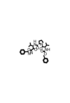 CC(C)[C@H](NC(=O)[C@@H]1CCCN1C(=O)[C@@H](NC(=O)OCc1ccccc1)C(C)C)C(=O)c1nnc(-c2ccccc2)o1